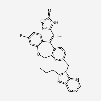 CCCc1nc2cccnc2n1Cc1ccc2c(c1)COc1cc(F)ccc1/C2=C(/C)c1noc(=O)[nH]1